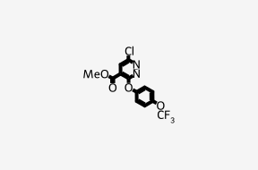 COC(=O)c1cc(Cl)nnc1Oc1ccc(OC(F)(F)F)cc1